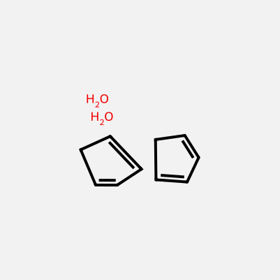 C1=CCC=C1.C1=CCC=C1.O.O